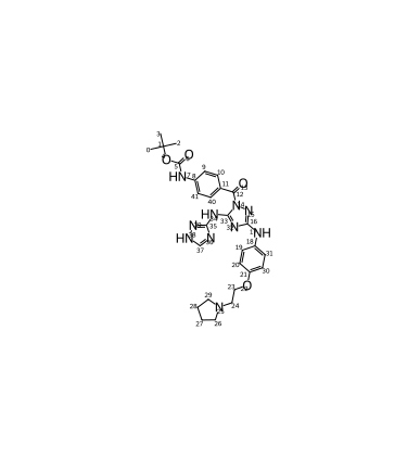 CC(C)(C)OC(=O)Nc1ccc(C(=O)n2nc(Nc3ccc(OCCN4CCCC4)cc3)nc2Nc2nc[nH]n2)cc1